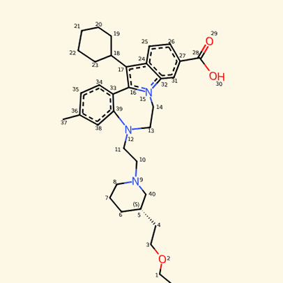 CCOCC[C@@H]1CCCN(CCN2CCn3c(c(C4CCCCC4)c4ccc(C(=O)O)cc43)-c3ccc(C)cc32)C1